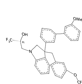 COc1cccc(-c2cccc(C3(Cc4cccc(OC(F)(F)F)c4)CN(C[C@@H](O)C(F)(F)F)c4ccccc43)c2)c1